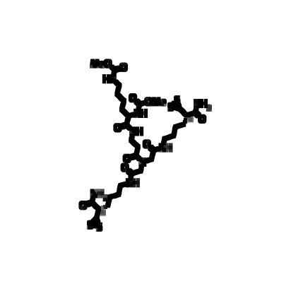 COC(=O)NCCCCC(NC(=O)OC)C(=O)NCCC(=O)N(CC(=O)NCCCC[C@@H](C(N)=O)C1SS1)CC(=O)NCCCC[C@@H](C(N)=O)C1SS1